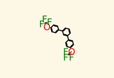 FC(F)(F)Oc1ccc(-c2cccc(-c3ccc(OC(F)(F)F)cc3)c2)cc1